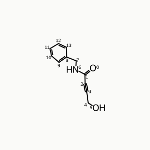 O=C(C#CCO)NCc1ccccc1